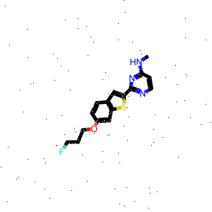 CNc1ccnc(-c2cc3ccc(OCCCF)cc3s2)n1